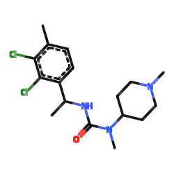 Cc1ccc(C(C)NC(=O)N(C)C2CCN(C)CC2)c(Cl)c1Cl